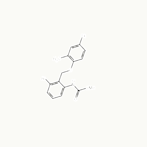 CCc1ccc(OCc2c(Br)cccc2NC(=O)SC)c(C)c1